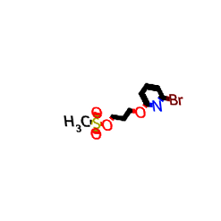 CS(=O)(=O)OCCCOc1cccc(Br)n1